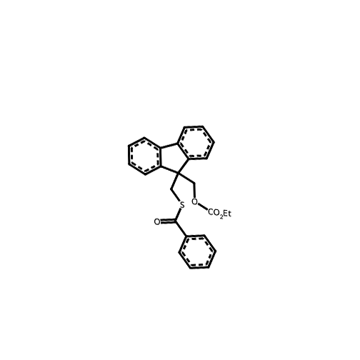 CCOC(=O)OCC1(CSC(=O)c2ccccc2)c2ccccc2-c2ccccc21